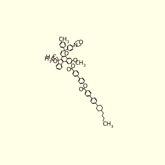 CCCCCC1CCC(c2ccc(-c3ccc(C(=O)Oc4ccc(-c5ccc(C(=O)Oc6cc7c8c(c9c(c7cc6OC)OC(c6ccc(C)cc6)(c6ccc(N7CCOCC7)cc6)C=C9)C(CC)(OC)c6ccccc6-8)cc5)cc4)cc3)cc2)CC1